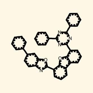 c1ccc(-c2ccc3nc(-c4cccc5c4oc4c(-c6nc(-c7ccccc7)nc(-c7ccccc7)n6)cccc45)oc3c2)cc1